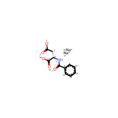 O=C([O-])C[C@H](NC(=O)c1ccccc1)C(=O)[O-].[Na+].[Na+]